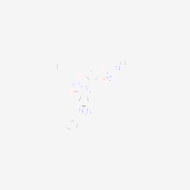 CCCOc1ccc(S(=O)(=O)[N+]2(N)CCN(C)CC2)cc1-c1nc2cc3ncn(Cc4ccccc4)c3cc2c(=O)[nH]1